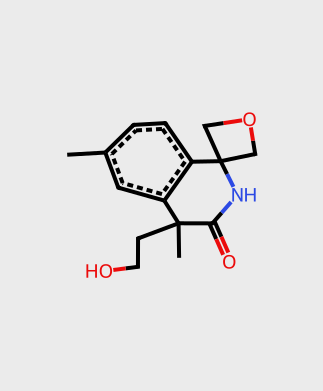 Cc1ccc2c(c1)C(C)(CCO)C(=O)NC21COC1